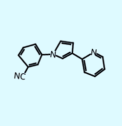 N#Cc1cccc(-n2ccc(-c3ccccn3)c2)c1